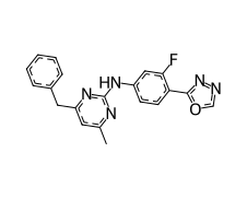 Cc1cc(Cc2ccccc2)nc(Nc2ccc(-c3nnco3)c(F)c2)n1